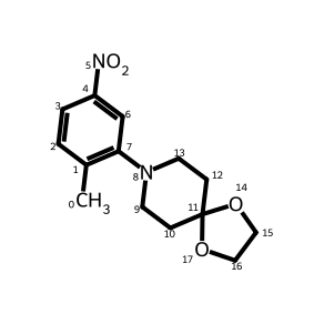 Cc1ccc([N+](=O)[O-])cc1N1CCC2(CC1)OCCO2